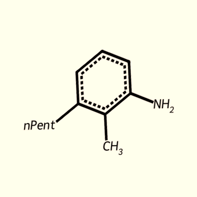 CCCCCc1cccc(N)c1C